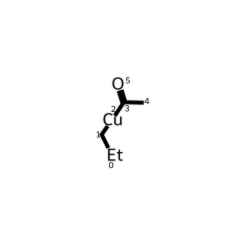 CC[CH2][Cu][C](C)=O